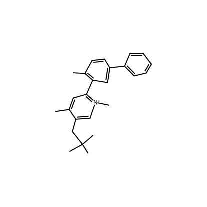 Cc1cc(-c2cc(-c3ccccc3)ccc2C)[n+](C)cc1CC(C)(C)C